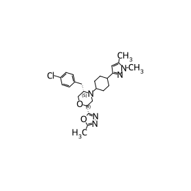 Cc1nnc([C@H]2CN(C3CCC(c4cc(C)n(C)n4)CC3)[C@@H](Cc3ccc(Cl)cc3)CO2)o1